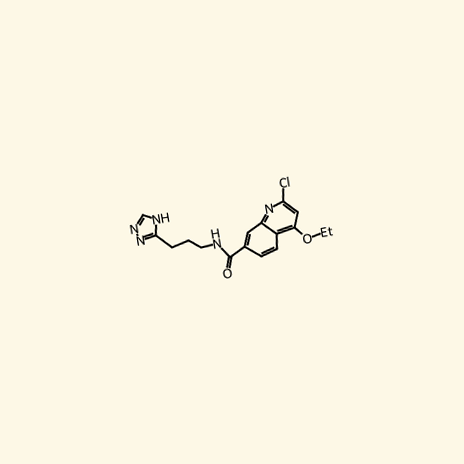 CCOc1cc(Cl)nc2cc(C(=O)NCCCc3nnc[nH]3)ccc12